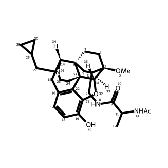 CO[C@]12CC[C@@]3(C[C@@H]1CNC(=O)C(C)NC(C)=O)[C@H]1Cc4ccc(O)c5c4[C@@]3(CCN1CC1CC1)[C@H]2O5